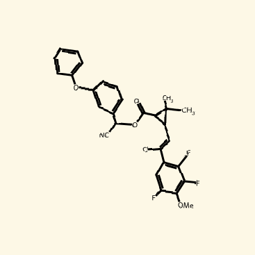 COc1c(F)cc(C(Cl)=CC2C(C(=O)OC(C#N)c3cccc(Oc4ccccc4)c3)C2(C)C)c(F)c1F